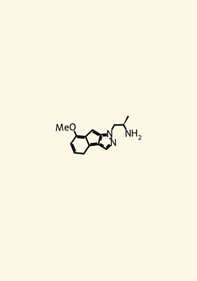 COC1=C2C=c3c(cnn3C[C@@H](C)N)=C2CC=C1